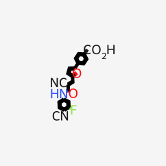 N#C/C(=C\c1ccc(-c2ccc(C(=O)O)cc2)o1)C(=O)Nc1ccc(C#N)c(F)c1